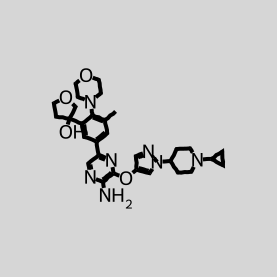 Cc1cc(-c2cnc(N)c(Oc3cnn(C4CCN(C5CC5)CC4)c3)n2)cc(C2(O)CCOC2)c1N1CCOCC1